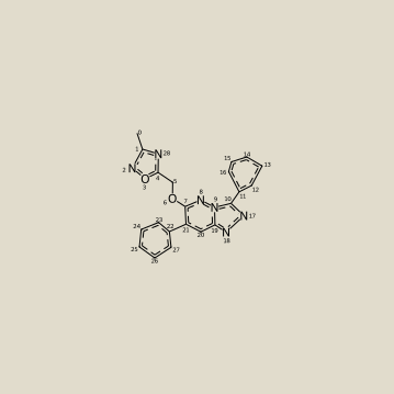 Cc1noc(COc2nn3c(-c4ccccc4)nnc3cc2-c2ccccc2)n1